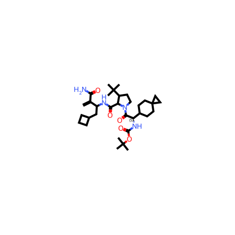 C=C(C(N)=O)C(CC1CCC1)NC(=O)C1C(C(C)(C)C)CCN1C(=O)[C@@H](NC(=O)OC(C)(C)C)C1CCC2(CC1)CC2